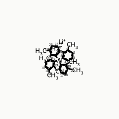 Cc1ccc[c]([Al-]([c]2cccc(C)c2C)([c]2cccc(C)c2C)[c]2cccc(C)c2C)c1C.[Li+]